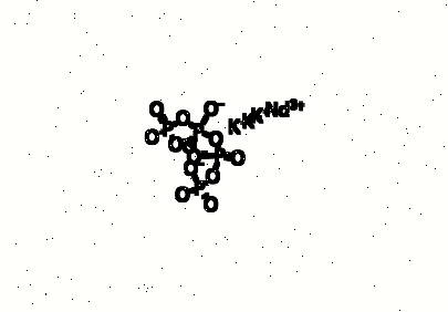 O=P([O-])([O-])OP(=O)([O-])OP(=O)([O-])OP(=O)([O-])[O-].[K+].[K+].[K+].[Nd+3]